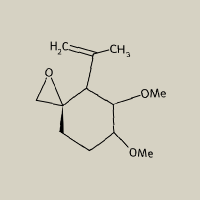 C=C(C)C1C(OC)C(OC)CC[C@]12CO2